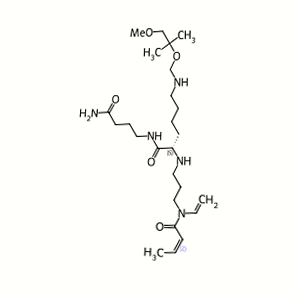 C=CN(CCCN[C@@H](CCCCNCOC(C)(C)COC)C(=O)NCCCC(N)=O)C(=O)/C=C\C